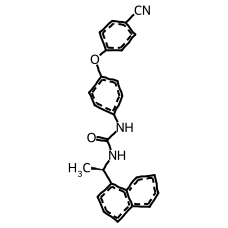 C[C@@H](NC(=O)Nc1ccc(Oc2ccc(C#N)cc2)cc1)c1cccc2ccccc12